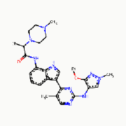 CCOc1nn(C)cc1Nc1ncc(C)c(-c2c[nH]c3c(NC(=O)C(CC)N4CCN(C)CC4)cccc23)n1